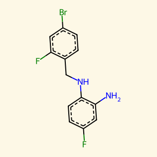 Nc1cc(F)ccc1NCc1ccc(Br)cc1F